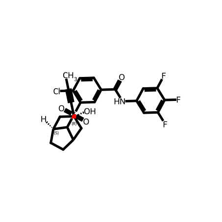 CC#C[C@@]1(O)CC2CC[C@@H](C1)C2S(=O)(=O)c1cc(C(=O)Nc2cc(F)c(F)c(F)c2)ccc1Cl